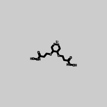 O=C(CCOC1CSSCC1OCCC(=O)NO)NO.[Li]